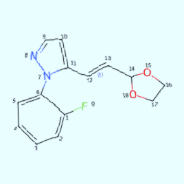 Fc1ccccc1-n1nccc1/C=C/C1OCCO1